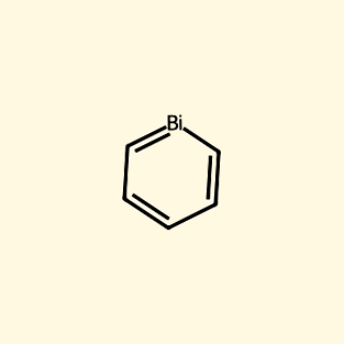 C1=C[CH]=[Bi][CH]=C1